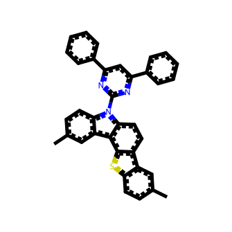 Cc1ccc2sc3c(ccc4c3c3cc(C)ccc3n4-c3nc(-c4ccccc4)cc(-c4ccccc4)n3)c2c1